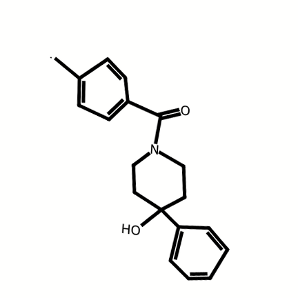 [CH2]c1ccc(C(=O)N2CCC(O)(c3ccccc3)CC2)cc1